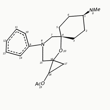 CN[C@H]1CC[C@]2(CC1)CN(c1ccccc1)CC1(CC1OC(C)=O)O2